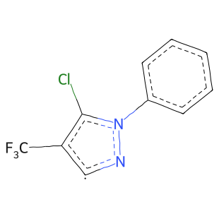 FC(F)(F)c1[c]nn(-c2ccccc2)c1Cl